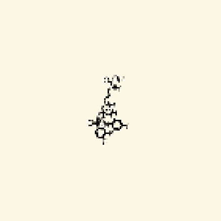 O=C(O)NCCCNCC1(O)CN(C(=O)c2ccc(F)c(F)c2Nc2ccc(I)cc2F)C1